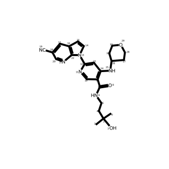 CC(C)(O)CCNC(=O)c1cnc(-n2ccc3cc(C#N)cnc32)cc1NC1CCOCC1